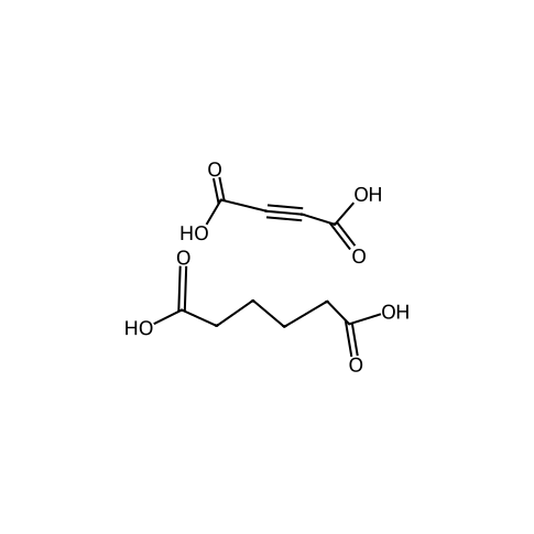 O=C(O)C#CC(=O)O.O=C(O)CCCCC(=O)O